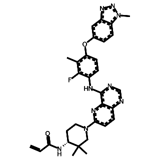 C=CC(=O)N[C@@H]1CCN(c2ccc3ncnc(Nc4ccc(Oc5ccc6c(c5)nnn6C)c(C)c4F)c3n2)CC1(C)C